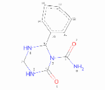 NC(=O)N1C(=O)NCNC1c1cc[c]cc1